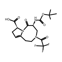 CC(C)(C)OC(=O)N[C@H]1CN(C(=O)C(F)(F)F)CCC2=CC[C@@H](C(=O)O)N2C1=O